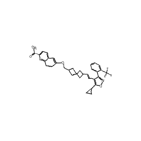 O=C(O)c1ccc2cc(OCC3CC4(CC(C=Cc5c(-c6ccccc6C(F)(F)F)noc5C5CC5)C4)C3)ccc2n1